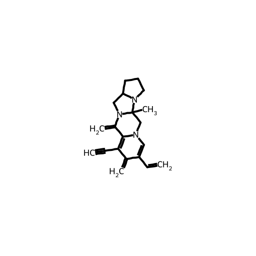 C#CC1=C2C(=C)N3CC4CCCN4C3(C)CN2C=C(C=C)C1=C